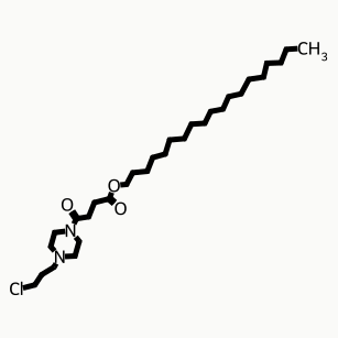 CCCCCCCCCCCCCCCCCCCOC(=O)CCC(=O)N1CCN(CCCCl)CC1